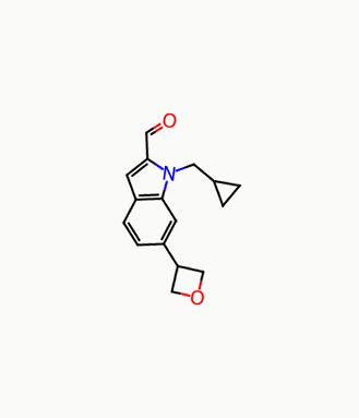 O=Cc1cc2ccc(C3COC3)cc2n1CC1CC1